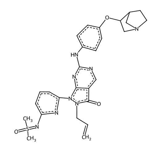 C=CCn1c(=O)c2cnc(Nc3ccc(OC4CN5CCC4C5)cc3)nc2n1-c1cccc(N=S(C)(C)=O)n1